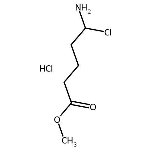 COC(=O)CCCC(N)Cl.Cl